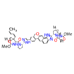 C=C(/C=C\C=C/C)[C@@H](NC(=O)OC)C(=O)N1CCC[C@H]1c1ncc(-c2ccc3c(c2)COc2cc4c(ccc5nc([C@@H]6C[C@H]7C[C@H]7N6C(=O)[C@@H](NC(=O)OC)C(C)C)[nH]c54)cc2-3)[nH]1